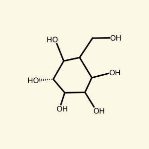 OCC1C(O)C(O)C(O)[C@H](O)C1O